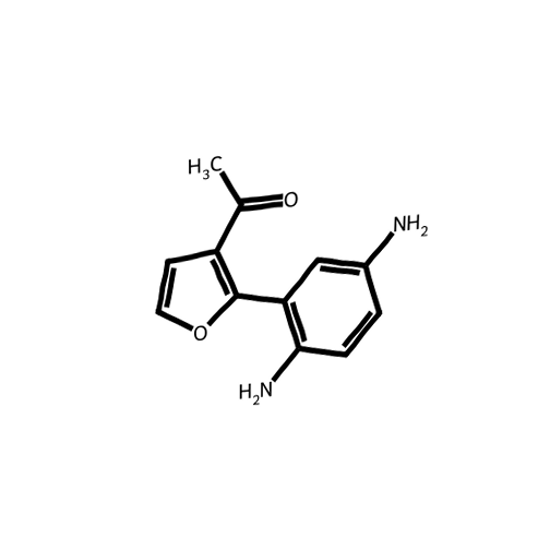 CC(=O)c1ccoc1-c1cc(N)ccc1N